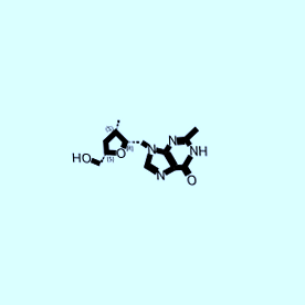 Cc1nc2c(ncn2C[C@@H]2O[C@H](CO)C[C@@H]2C)c(=O)[nH]1